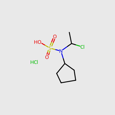 CC(Cl)N(C1CCCC1)S(=O)(=O)O.Cl